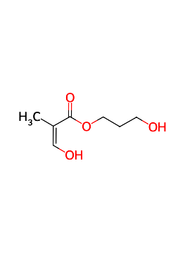 CC(=CO)C(=O)OCCCO